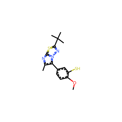 COc1ccc(-c2c(C)nc3sc(C(C)(C)C)nn23)cc1S